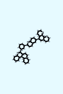 c1cc(-c2ccc3cc(-c4cc5cccnc5c5ncccc45)ccc3n2)cc(-c2nc3ccccc3c3c2ccc2ccccc23)c1